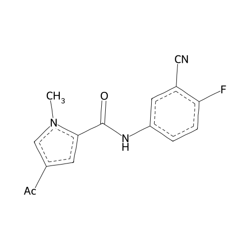 CC(=O)c1cc(C(=O)Nc2ccc(F)c(C#N)c2)n(C)c1